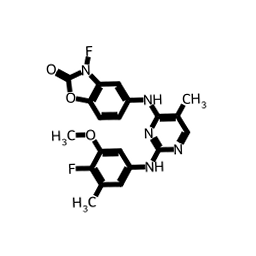 COc1cc(Nc2ncc(C)c(Nc3ccc4oc(=O)n(F)c4c3)n2)cc(C)c1F